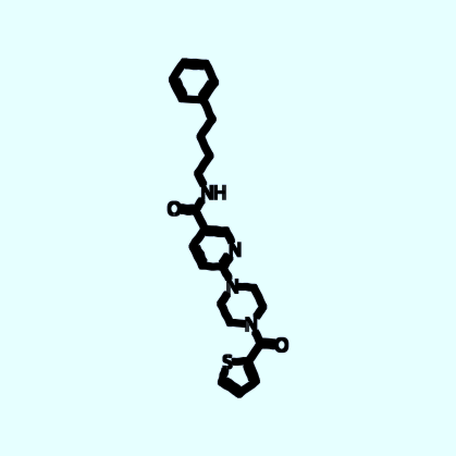 O=C(NCCCCc1ccccc1)c1ccc(N2CCN(C(=O)c3cccs3)CC2)nc1